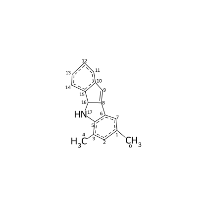 Cc1cc(C)c2c(c1)C1=Cc3ccccc3C1N2